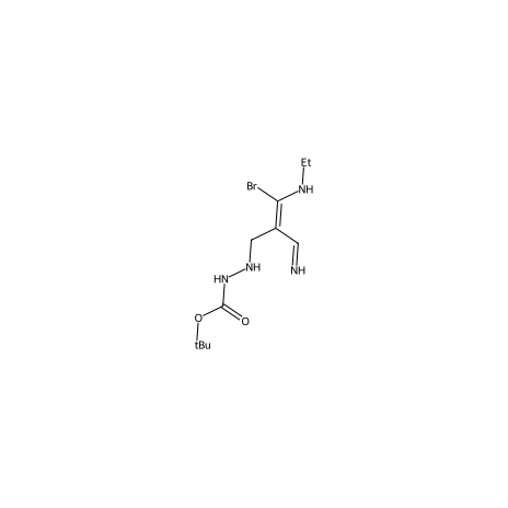 CCN/C(Br)=C(\C=N)CNNC(=O)OC(C)(C)C